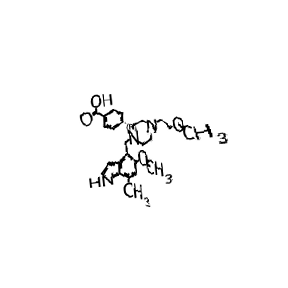 COCCN1CCN(Cc2c(OC)cc(C)c3[nH]ccc23)[C@H](c2ccc(C(=O)O)cc2)C1